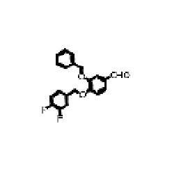 O=Cc1ccc(OCc2ccc(F)c(F)c2)c(OCc2ccccc2)c1